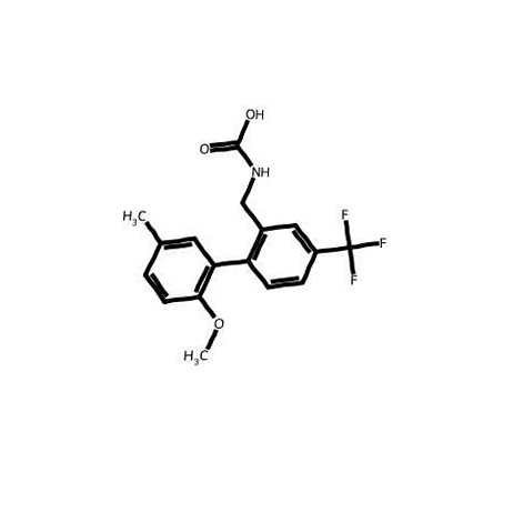 COc1ccc(C)cc1-c1ccc(C(F)(F)F)cc1CNC(=O)O